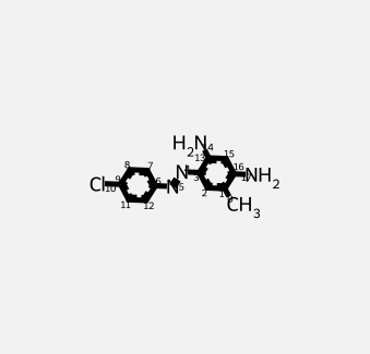 Cc1cc(N=Nc2ccc(Cl)cc2)c(N)cc1N